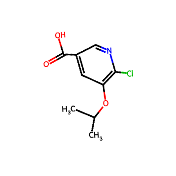 CC(C)Oc1cc(C(=O)O)cnc1Cl